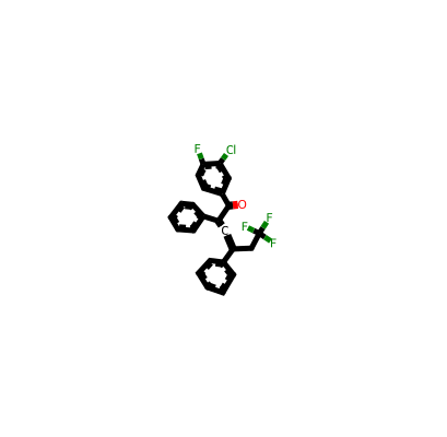 O=C(C(=C=C(CC(F)(F)F)c1ccccc1)c1ccccc1)c1ccc(F)c(Cl)c1